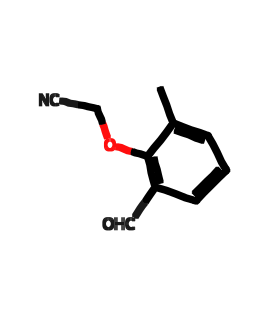 Cc1cccc(C=O)c1OCC#N